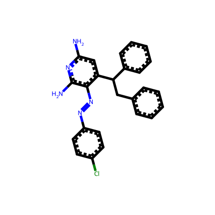 Nc1cc(C(Cc2ccccc2)c2ccccc2)c(N=Nc2ccc(Cl)cc2)c(N)n1